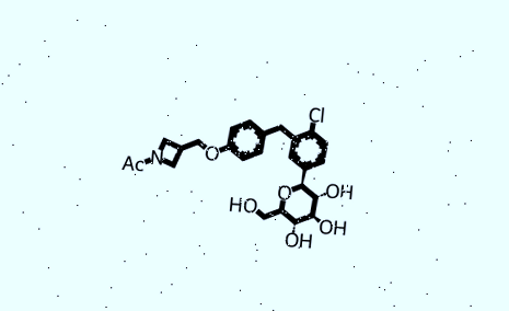 CC(=O)N1CC(COc2ccc(Cc3cc([C@@H]4OC(CO)[C@@H](O)[C@H](O)[C@H]4O)ccc3Cl)cc2)C1